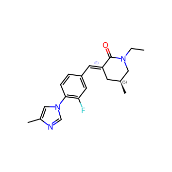 CCN1C[C@@H](C)C/C(=C\c2ccc(-n3cnc(C)c3)c(F)c2)C1=O